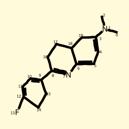 CN(C)C1=CC=C2N=C(C3=CC=C(F)CC3)CCC2C1